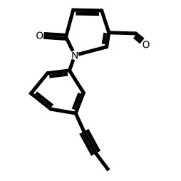 CC#Cc1cccc(-n2cc(C=O)ccc2=O)c1